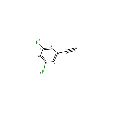 C#Cc1cc(F)cc(F)c1